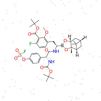 COc1c(C[C@H](NC(=O)[C@H](NC(=O)OC(C)(C)C)c2ccc(OS(=O)(=O)F)cc2)B2O[C@@H]3C[C@@H]4C[C@@H](C4(C)C)[C@]3(C)O2)ccc(F)c1C(=O)OC(C)(C)C